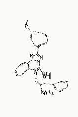 COc1cccc(-c2nc3c4ccccc4nc(N[C@@H](C(N)=O)c4ccccc4)n3n2)c1